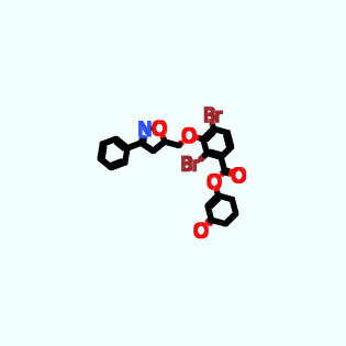 O=C1C=C(OC(=O)c2ccc(Br)c(OCC3CC(c4ccccc4)=NO3)c2Br)CCC1